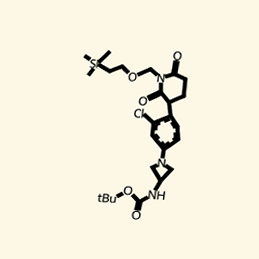 CC(C)(C)OC(=O)NC1CN(c2ccc(C3CCC(=O)N(COCC[Si](C)(C)C)C3=O)c(Cl)c2)C1